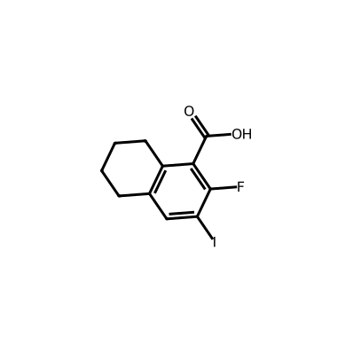 O=C(O)c1c(F)c(I)cc2c1CCCC2